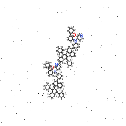 c1ccc(-c2c3c(c(-c4ccccc4)c4ccccc24)-c2ccc(-c4cccc(N(c5ccc(-c6ccc7c(-c8ccccc8)c8c(c(-c9ccccc9)c7c6)-c6cccc7c(-c9cccc(N(c%10ccncc%10)c%10cccc%11c%10oc%10ccccc%10%11)c9)ccc-8c67)nc5)c5cccc6c5oc5ccccc56)c4)c4cccc-3c24)cc1